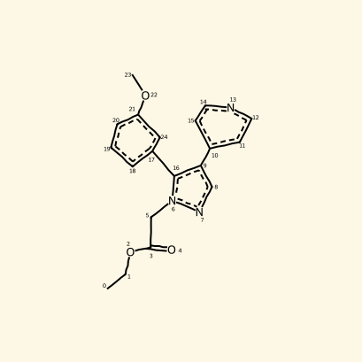 CCOC(=O)Cn1ncc(-c2ccncc2)c1-c1cccc(OC)c1